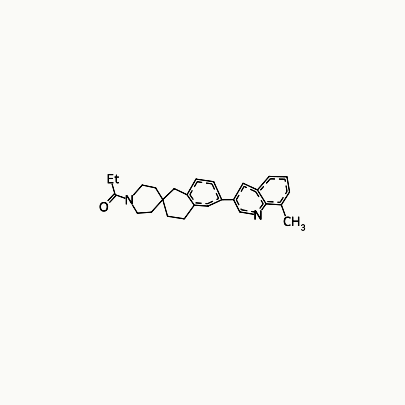 CCC(=O)N1CCC2(CCc3cc(-c4cnc5c(C)cccc5c4)ccc3C2)CC1